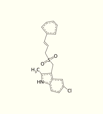 Cc1[nH]c2ccc(Cl)cc2c1CS(=O)(=O)CC=Cc1ccccc1